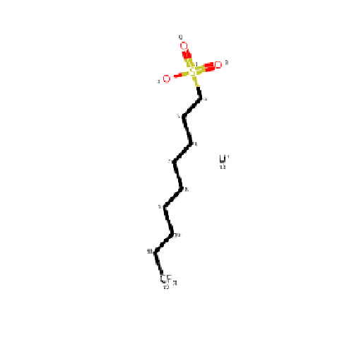 O=S(=O)([O-])CCCCCCCCC(F)(F)F.[Li+]